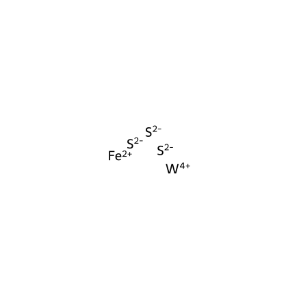 [Fe+2].[S-2].[S-2].[S-2].[W+4]